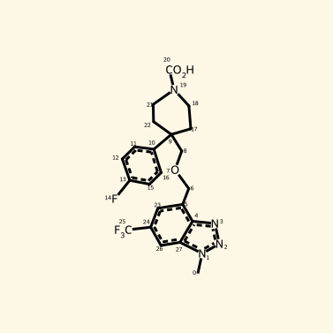 Cn1nnc2c(COCC3(c4ccc(F)cc4)CCN(C(=O)O)CC3)cc(C(F)(F)F)cc21